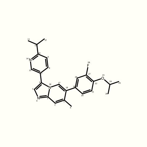 Cc1cc2ncc(-c3ccc(C(C)C)nc3)n2cc1-c1ccc(OC(C)C)c(F)c1